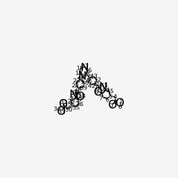 COC(=O)Cc1ccc2oc(-c3ccc(C4=CN=CCN4c4ccc(-c5nc6cc(CC(=O)OC)ccc6o5)cc4)cc3)nc2c1